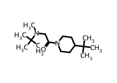 CN(CC(=O)N1CCC(C(C)(C)C)CC1)C(C)(C)C